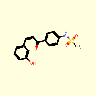 CS(=O)(=O)Nc1ccc(C(=O)/C=C\c2cccc(O)c2)cc1